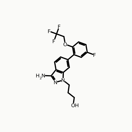 Nc1nn(CCCO)c2cc(-c3cc(F)ccc3OCC(F)(F)F)ccc12